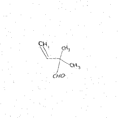 C=CC(C)(C)[C]=O